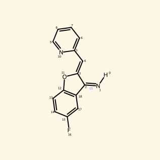 [H]/N=C1\C(=Cc2ccccn2)Oc2ccc(F)cc21